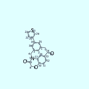 Cc1cc(CN2C(=O)COc3ccc(C=O)cc32)cc(-c2ccsc2)c1